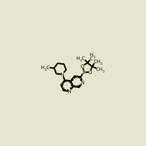 CC1CCCN(c2ccnc3cnc(B4OC(C)(C)C(C)(C)O4)cc23)C1